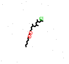 CCCCCCOCOCCCC(C)CC(C)CC(C)CC(C)Cl